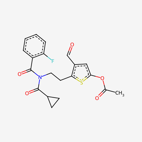 CC(=O)Oc1cc(C=O)c(CCN(C(=O)c2ccccc2F)C(=O)C2CC2)s1